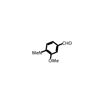 CNc1ccc(C=O)cc1OC